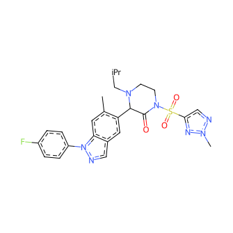 Cc1cc2c(cnn2-c2ccc(F)cc2)cc1C1C(=O)N(S(=O)(=O)c2cnn(C)n2)CCN1CC(C)C